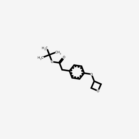 CC(C)(C)OC(=O)Cc1ccc(OC2COC2)cc1